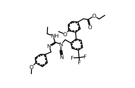 CCNC(=NCc1ccc(OC)cc1)N(C#N)Cc1cc(C(F)(F)F)ccc1-c1cc(CC(=O)OCC)ccc1OC